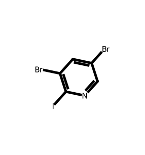 Brc1cnc(I)c(Br)c1